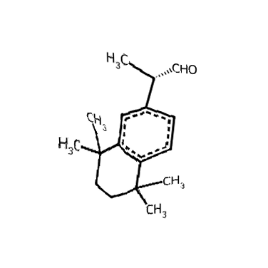 C[C@H](C=O)c1ccc2c(c1)C(C)(C)CCC2(C)C